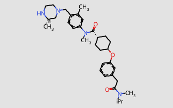 Cc1cc(N(C)C(=O)[C@H]2CC[C@H](Oc3cccc(CC(=O)N(C)C(C)C)c3)CC2)ccc1CN1CCN[C@@H](C)C1